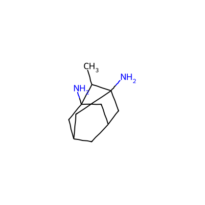 CC1C2(N)CC3CC(C2)CC1(N)C3